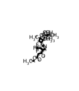 CCOC(=O)CC(=O)c1cnn([C@H]2C[C@@](C)(O[Si](C)(C)C(C)(C)C)C2)c1C(F)(F)F